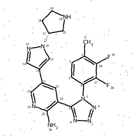 Cc1ccc(-n2nnnc2-c2cc(-c3cnn([C@@H]4CCNC4)c3)cnc2N)c(F)c1F